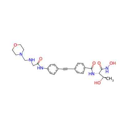 C[C@@H](O)[C@H](NC(=O)c1ccc(C#Cc2ccc(NC(=O)CNCN3CCOCC3)cc2)cc1)C(=O)NO